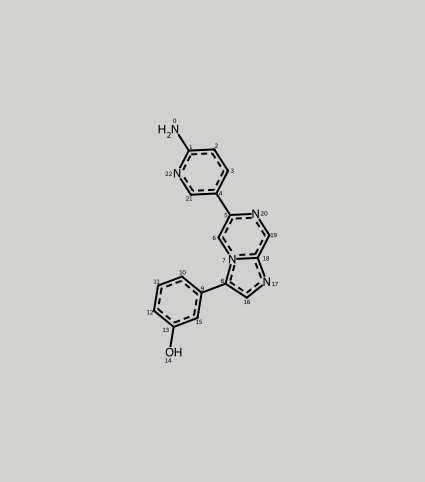 Nc1ccc(-c2cn3c(-c4cccc(O)c4)cnc3cn2)cn1